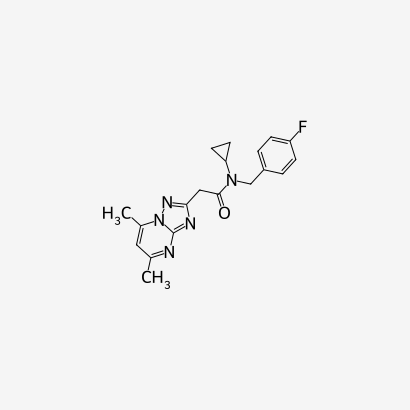 Cc1cc(C)n2nc(CC(=O)N(Cc3ccc(F)cc3)C3CC3)nc2n1